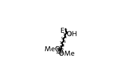 CCC(O)CCCCCCCC[Si](C)(OC)OC